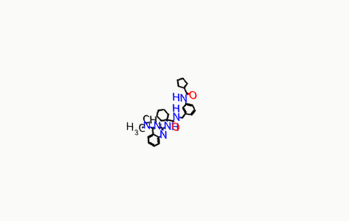 CN(C)c1nc(NC2(C(=O)NCc3cccc(NC(=O)C4CCCC4)c3)CCCCC2)nc2ccccc12